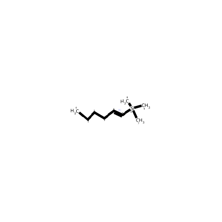 CCCC/C=C/[Si](C)(C)C